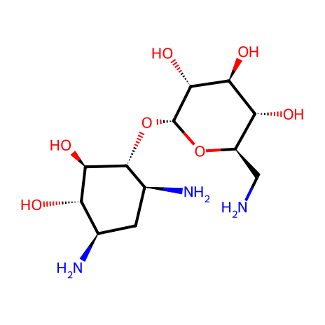 NC[C@H]1O[C@H](O[C@H]2[C@H](O)[C@@H](O)[C@H](N)C[C@@H]2N)[C@H](O)[C@@H](O)[C@@H]1O